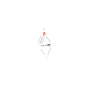 O=S123SS1(#S2)S3